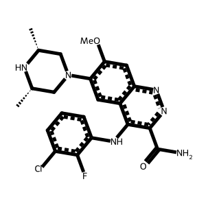 COc1cc2nnc(C(N)=O)c(Nc3cccc(Cl)c3F)c2cc1N1C[C@@H](C)N[C@@H](C)C1